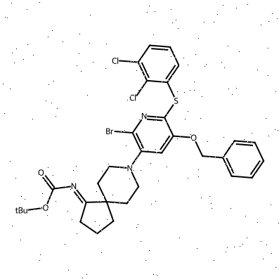 CC(C)(C)OC(=O)N=C1CCCC12CCN(c1cc(OCc3ccccc3)c(Sc3cccc(Cl)c3Cl)nc1Br)CC2